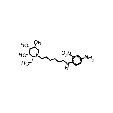 Nc1ccc(NCCCCCCN2C[C@H](O)[C@@H](O)[C@H](O)[C@H]2CO)c([N+](=O)[O-])c1